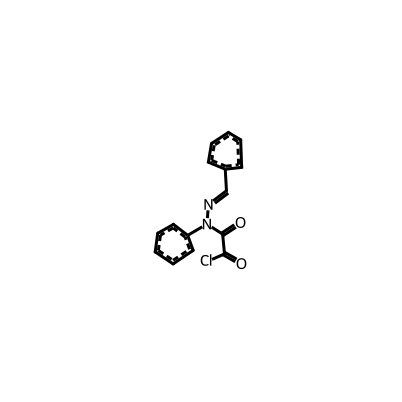 O=C(Cl)C(=O)N(/N=C/c1ccccc1)c1ccccc1